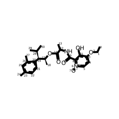 CCOc1cc[n+]([O-])c(C(=O)NC(C)C(=O)O[C@@H](C)[C@@H](c2ccc(C)cc2C)C(C)C)c1O